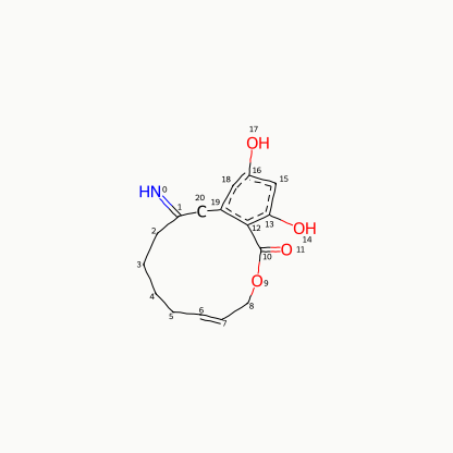 N=C1CCCC/C=C/COC(=O)c2c(O)cc(O)cc2C1